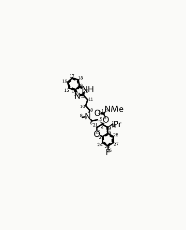 CNC(=O)O[C@]1(CCN(C)CCCc2nc3ccccc3[nH]2)COc2cc(F)ccc2[C@@H]1C(C)C